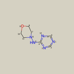 c1ncnc(NN2CCOCC2)n1